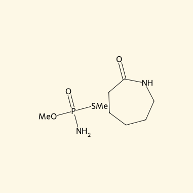 COP(N)(=O)SC.O=C1CCCCCN1